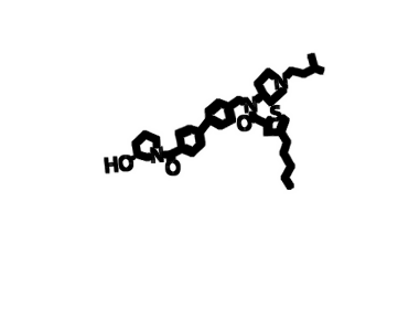 CCCCCc1csc(C(=O)N(Cc2ccc(-c3ccc(C(=O)N4CCC[C@@H](O)C4)cc3)cc2)C2CCN(CCC(C)C)CC2)c1